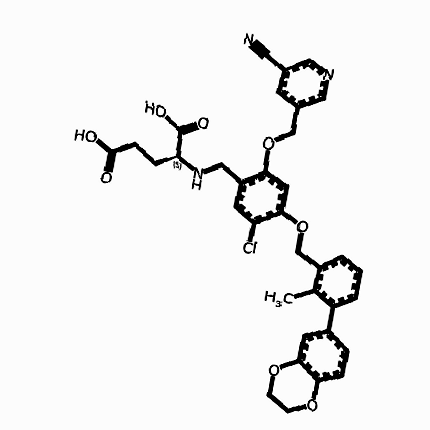 Cc1c(COc2cc(OCc3cncc(C#N)c3)c(CN[C@@H](CCC(=O)O)C(=O)O)cc2Cl)cccc1-c1ccc2c(c1)OCCO2